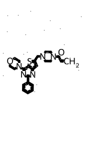 C=CC(=O)N1CCN(Cc2cc3nc(-c4ccccc4)nc(N4CCOCC4)c3s2)CC1